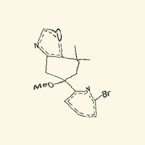 COC1(c2cccc(Br)n2)Cc2ncoc2C(C)(C)C1